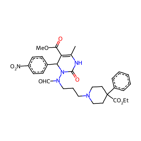 CCOC(=O)C1(c2ccccc2)CCN(CCCN(C=O)N2C(=O)NC(C)=C(C(=O)OC)C2c2ccc([N+](=O)[O-])cc2)CC1